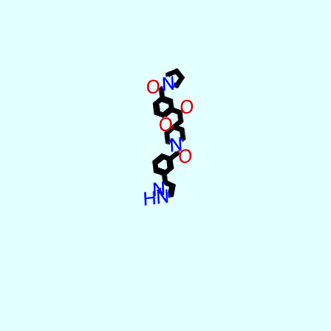 O=C1CC2(CCN(C(=O)c3cccc(-c4cc[nH]n4)c3)CC2)Oc2ccc(C(=O)N3CCCC3)cc21